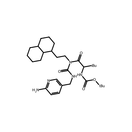 CCC(C)C(NC(=O)OC(C)(C)C)C(=O)N(CCC1CCCC2CCCCC21)C(=O)NCc1ccc(N)nc1